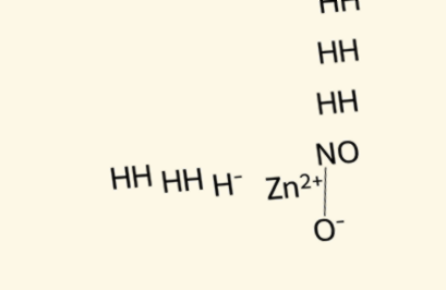 O=N[O-].[H-].[HH].[HH].[HH].[HH].[HH].[Zn+2]